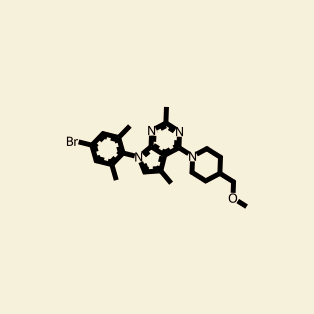 COCC1CCN(c2nc(C)nc3c2c(C)cn3-c2c(C)cc(Br)cc2C)CC1